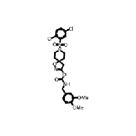 COc1ccc(CNC(=O)OC2=NOC3(CCN(S(=O)(=O)c4cc(Cl)ccc4Cl)CC3)C2)cc1OC